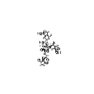 C[C@H](NC(=O)c1cc(F)c2c(c1)B(O)OC2)[C@H](NC(=O)c1cc(F)c2c(c1)B(O)OC2)C(=O)NCCC(=O)ON1C(=O)CCC1=O